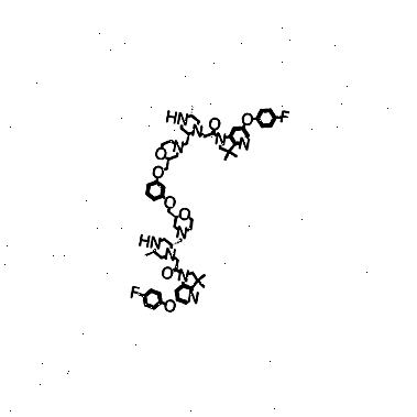 C[C@@H]1CN(CC(=O)N2CC(C)(C)c3ncc(Oc4ccc(F)cc4)cc32)[C@@H](CN2CCO[C@H](COc3cccc(OC[C@@H]4CN(C[C@H]5CN[C@H](C)CN5CC(=O)N5CC(C)(C)c6ncc(Oc7ccc(F)cc7)cc65)CCO4)c3)C2)CN1